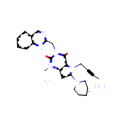 CC#CCn1c(N2CCC[C@@H](N)C2)c(OC)c2c1c(=O)n(Cc1ncc3ccccc3n1)c(=O)n2C